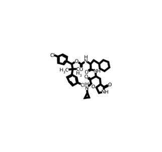 CC(C)(c1cccc(Cl)c1)C(OC(=O)NC(CC1CCCCC1)C(=O)NC(CC1CCNC1=O)C(=O)C(=O)NC1CC1)c1ccc(Cl)cc1